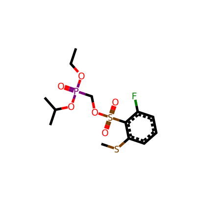 CCOP(=O)(COS(=O)(=O)c1c(F)cccc1SC)OC(C)C